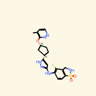 Cc1ccnnc1O[C@@H]1CC[C@H](c2cc(Nc3ccc4c(c3F)CNS4(=O)=O)n[nH]2)C1